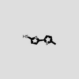 Cc1ccc(-c2ccc(S)s2)s1